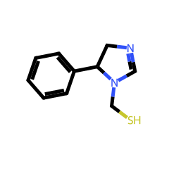 SCN1C=NCC1c1ccccc1